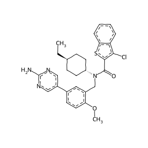 CC[C@H]1CC[C@H](N(Cc2cc(-c3cnc(N)nc3)ccc2OC)C(=O)c2sc3ccccc3c2Cl)CC1